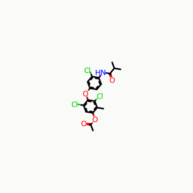 CC(=O)Oc1cc(Cl)c(Oc2ccc(NC(=O)C(C)C)c(Cl)c2)c(Cl)c1C